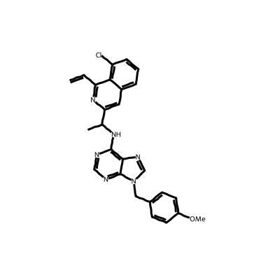 C=Cc1nc(C(C)Nc2ncnc3c2ncn3Cc2ccc(OC)cc2)cc2cccc(Cl)c12